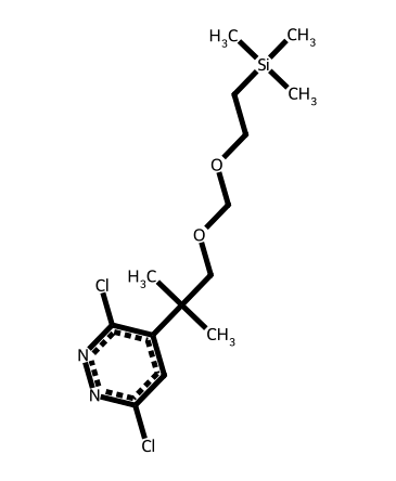 CC(C)(COCOCC[Si](C)(C)C)c1cc(Cl)nnc1Cl